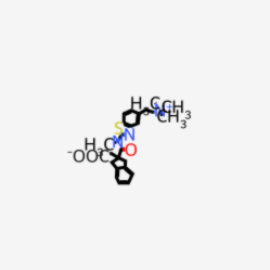 CN(C(=O)C1(CC(=O)[O-])Cc2ccccc2C1)c1nc2cc(CC[N+](C)(C)C)ccc2s1